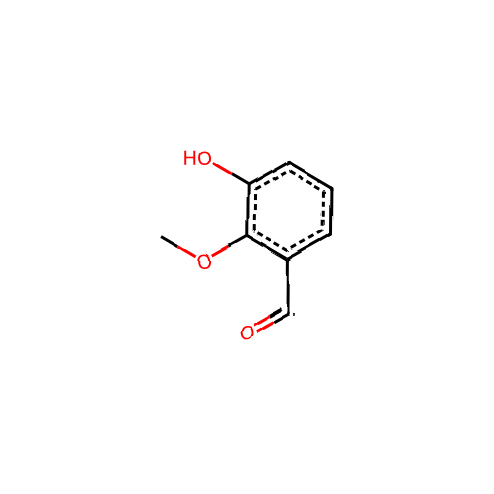 COc1c(O)cccc1[C]=O